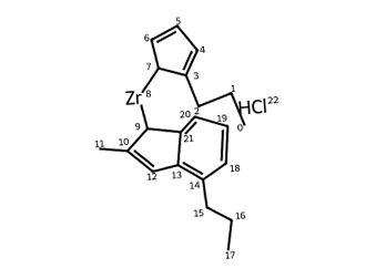 CCCC1=CC=C[CH]1[Zr][CH]1C(C)=Cc2c(CCC)cccc21.Cl